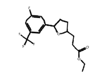 CCOC(=O)CCC1CCC(c2cc(F)cc(C(F)(F)F)c2)O1